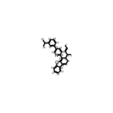 CC=CC(C)C1CC=c2c(oc3ccccc23)=C1c1ccc(-c2cccc(C(C)C)c2)cn1